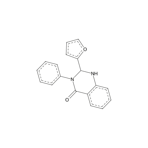 O=C1c2ccccc2NC(c2ccco2)N1c1ccccc1